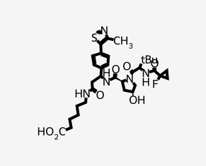 Cc1ncsc1-c1ccc(C(CC(=O)NCCCCCC(=O)O)NC(=O)[C@@H]2C[C@@H](O)CN2C(=O)C(NC(=O)C2(F)CC2)C(C)(C)C)cc1